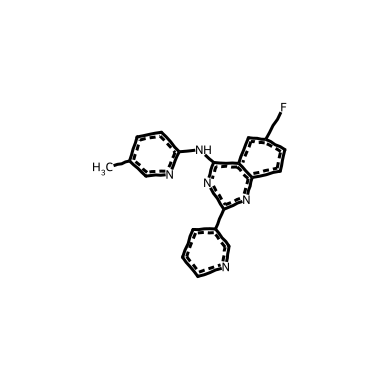 Cc1ccc(Nc2nc(-c3cccnc3)nc3ccc(F)cc23)nc1